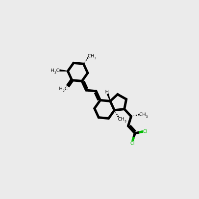 C=C1/C(=C/C=C2\CCC[C@]3(C)C([C@H](C)C=C(Cl)Cl)CC[C@@H]23)C[C@@H](C)C[C@@H]1C